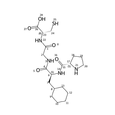 O=C(CNC(=O)[C@H](CC1CCCCC1)NC(=O)[C@@H]1CCCN1)N[C@@H](CS)C(=O)O